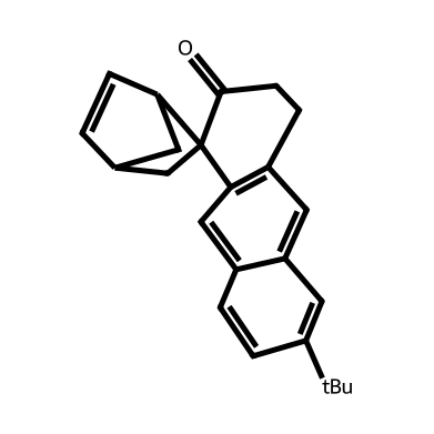 CC(C)(C)c1ccc2cc3c(cc2c1)CCC(=O)C31CC2C=CC1C2